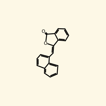 O=C1OC(=Cc2cccc3ccccc23)c2ccccc21